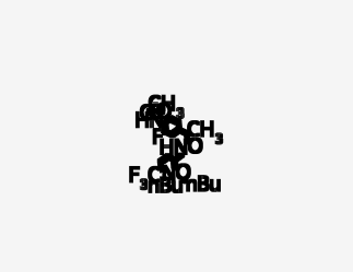 CCCCC(CCCC)Oc1nc(C(F)(F)F)ccc1CNC(=O)C(C)c1ccc(NS(C)(=O)=O)c(F)c1